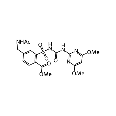 COC(=O)c1ccc(CNC(C)=O)cc1S(=O)(=O)NC(=O)Nc1nc(OC)cc(OC)n1